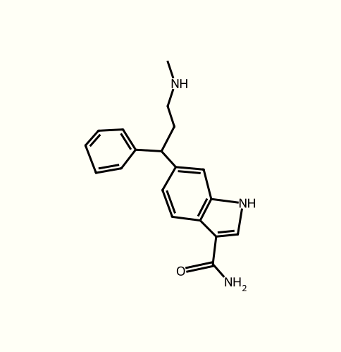 CNCCC(c1ccccc1)c1ccc2c(C(N)=O)c[nH]c2c1